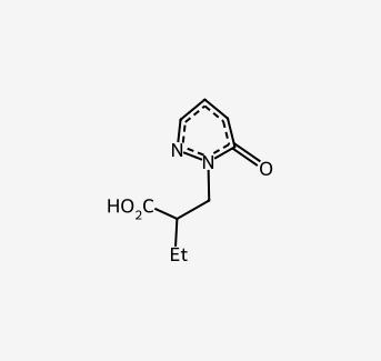 CCC(Cn1ncccc1=O)C(=O)O